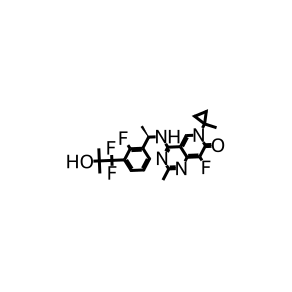 Cc1nc(N[C@H](C)c2cccc(C(F)(F)C(C)(C)O)c2F)c2cn(C3(C)CC3)c(=O)c(F)c2n1